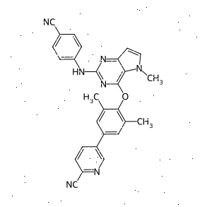 Cc1cc(-c2ccc(C#N)nc2)cc(C)c1Oc1nc(Nc2ccc(C#N)cc2)nc2ccn(C)c12